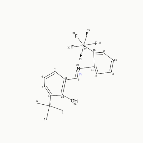 CC(C)(C)c1cccc(/C=N/c2ccccc2S(F)(F)(F)(F)F)c1O